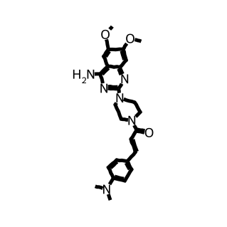 COc1cc2nc(N3CCN(C(=O)C=Cc4ccc(N(C)C)cc4)CC3)nc(N)c2cc1OC